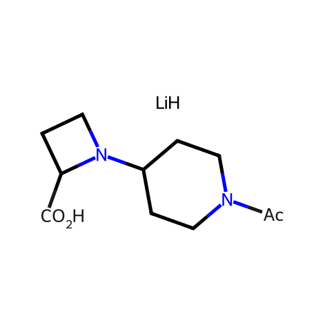 CC(=O)N1CCC(N2CCC2C(=O)O)CC1.[LiH]